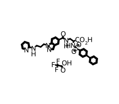 O=C(NCC(NS(=O)(=O)c1ccc(-c2ccccc2)cc1)C(=O)O)c1ccc2c(cnn2CCCNc2ccccn2)c1.O=C(O)C(F)(F)F